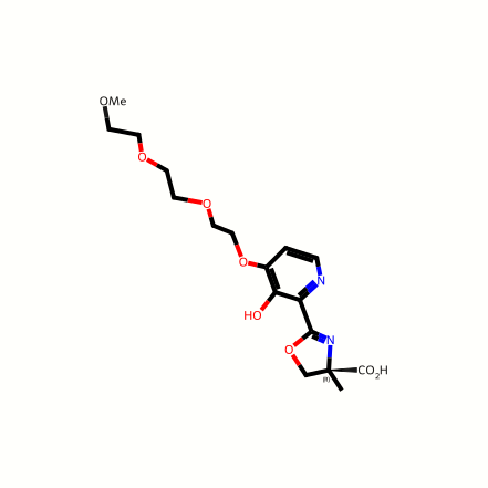 COCCOCCOCCOc1ccnc(C2=N[C@@](C)(C(=O)O)CO2)c1O